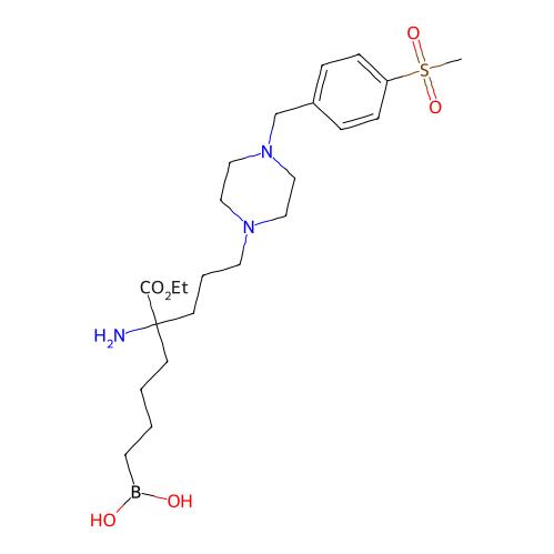 CCOC(=O)C(N)(CCCCB(O)O)CCCN1CCN(Cc2ccc(S(C)(=O)=O)cc2)CC1